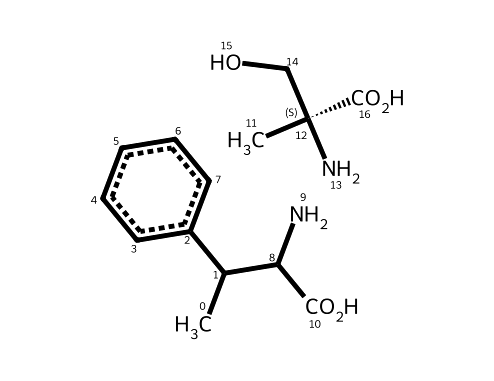 CC(c1ccccc1)C(N)C(=O)O.C[C@](N)(CO)C(=O)O